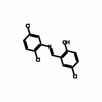 Oc1ccc(Cl)cc1/C=N/c1cc(Cl)ccc1Cl